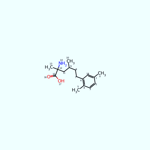 Cc1ccc(C)c(CCC(C)CC(C)(N)C(=O)O)c1